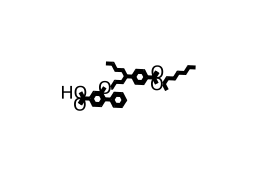 CCCCCCC(C)OC(=O)c1ccc(C(CCCC)CCCOc2cc(C(=O)O)ccc2-c2ccccc2)cc1